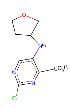 O=C(O)c1nc(Cl)ncc1NC1CCOC1